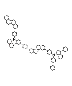 c1ccc(-c2ccc(N(c3ccc(-c4ccc5ccc6c7cc(-c8ccc(-c9ccc(N(c%10ccccc%10)c%10ccc(-c%11ccc%12ccc%13c%14ccccc%14ccc%13c%12c%11)cc%10)c(-c%10ccccc%10)c9)cc8)ccc7ccc6c5c4)cc3)c3ccc(-c4ccccc4)c4ccccc34)cc2)cc1